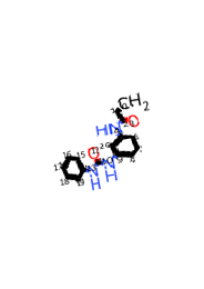 C=CC(=O)Nc1cccc(NC(=O)Nc2ccccc2)c1